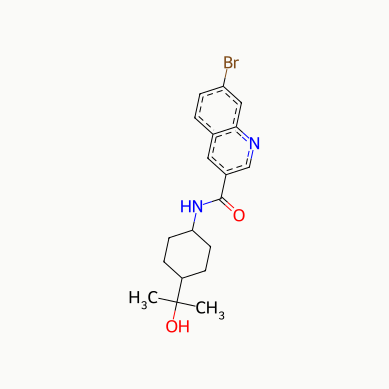 CC(C)(O)C1CCC(NC(=O)c2cnc3cc(Br)ccc3c2)CC1